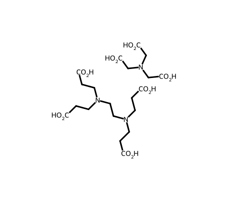 O=C(O)CCN(CCC(=O)O)CCN(CCC(=O)O)CCC(=O)O.O=C(O)CN(CC(=O)O)CC(=O)O